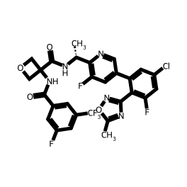 Cc1nc(-c2c(F)cc(Cl)cc2-c2cnc([C@@H](C)NC(=O)C3(NC(=O)c4cc(F)cc(C(F)(F)F)c4)COC3)c(F)c2)no1